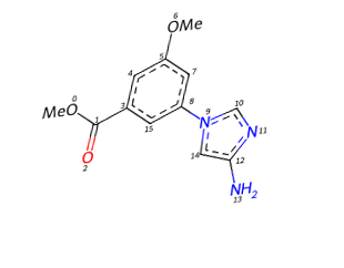 COC(=O)c1cc(OC)cc(-n2cnc(N)c2)c1